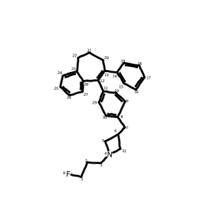 FCCCN1CC(Cc2ccc(C3=C(c4ccccc4)CCCc4ccccc43)cc2)C1